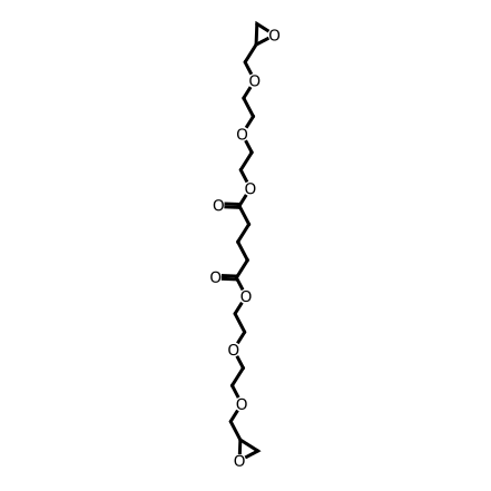 O=C(CCCC(=O)OCCOCCOCC1CO1)OCCOCCOCC1CO1